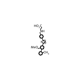 COCc1cc(-c2nc(-c3ccc(CNCCC(=O)O)cc3)no2)ccc1-c1ccccc1C